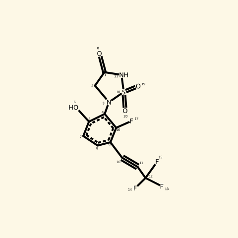 O=C1CN(c2c(O)ccc(C#CC(F)(F)F)c2F)S(=O)(=O)N1